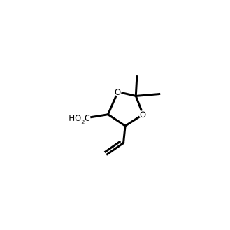 C=CC1OC(C)(C)OC1C(=O)O